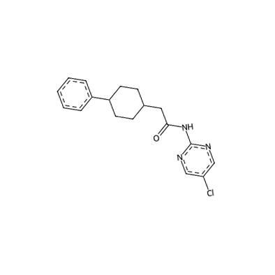 O=C(CC1CCC(c2ccccc2)CC1)Nc1ncc(Cl)cn1